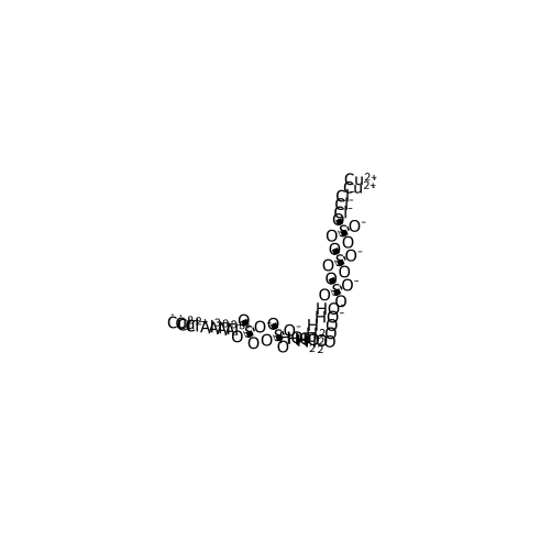 O.O.O.O.O=S(=O)([O-])[O-].O=S(=O)([O-])[O-].O=S(=O)([O-])[O-].O=S(=O)([O-])[O-].O=S(=O)([O-])[O-].[Al+3].[Al+3].[Al+3].[Al+3].[Cl-].[Cl-].[Cl-].[Cl-].[Cl-].[Cu+2].[Cu+2].[Cu+2].[Cu+2].[OH-].[OH-].[OH-].[OH-].[OH-]